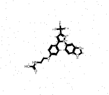 O=C(O)NCCOc1ccc(-c2cc(C(F)(F)F)nn2-c2ccc3c(c2)OCO3)cc1